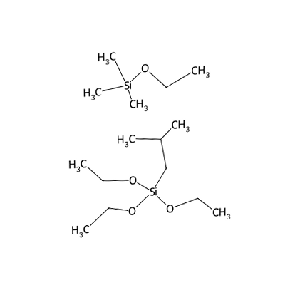 CCO[Si](C)(C)C.CCO[Si](CC(C)C)(OCC)OCC